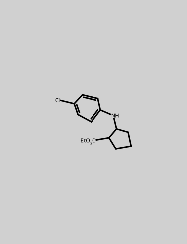 CCOC(=O)C1CCCC1Nc1ccc(Cl)cc1